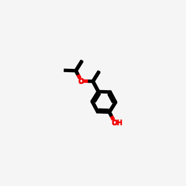 CC(C)OC(C)c1ccc(O)cc1